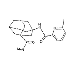 CNC(=O)C12CC3CC(CC(NC(=O)c4cccc(C)n4)(C3)C1)C2